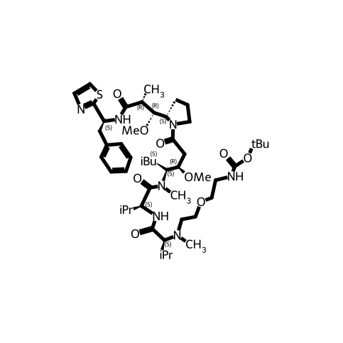 CC[C@H](C)[C@@H]([C@@H](CC(=O)N1CCC[C@H]1[C@H](OC)[C@@H](C)C(=O)N[C@@H](Cc1ccccc1)c1nccs1)OC)N(C)C(=O)[C@@H](NC(=O)[C@H](C(C)C)N(C)CCOCCNC(=O)OC(C)(C)C)C(C)C